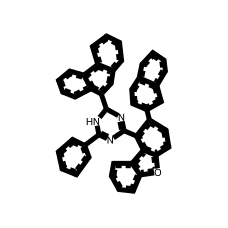 c1ccc(C2=NC(c3c(-c4ccc5ccccc5c4)ccc4oc5ccccc5c34)=NC(c3cc4ccccc4c4ccccc34)N2)cc1